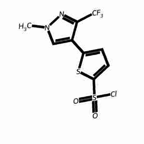 Cn1cc(-c2ccc(S(=O)(=O)Cl)s2)c(C(F)(F)F)n1